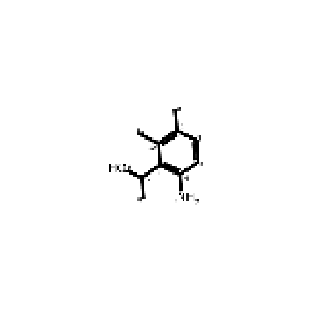 Cc1ccc(N)c(C(C)O)c1C